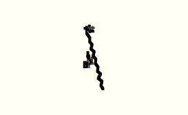 CC#N.CCCCCCCCCCCCCCCC[N+](C)(C)C.[Br-]